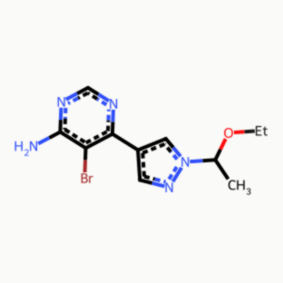 CCOC(C)n1cc(-c2ncnc(N)c2Br)cn1